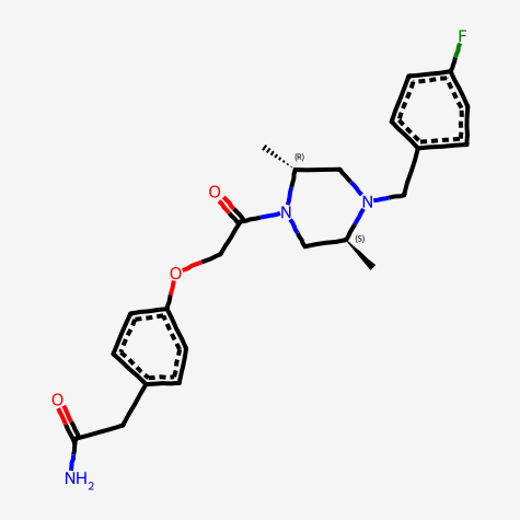 C[C@@H]1CN(Cc2ccc(F)cc2)[C@@H](C)CN1C(=O)COc1ccc(CC(N)=O)cc1